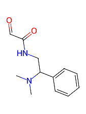 CN(C)C(CNC(=O)C=O)c1ccccc1